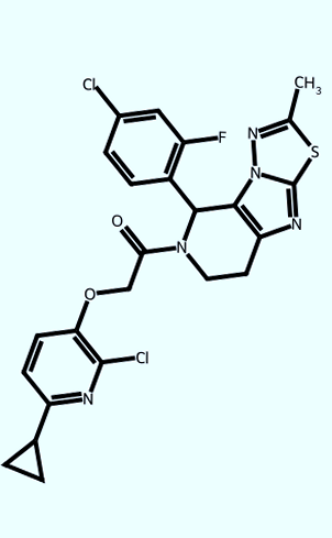 Cc1nn2c3c(nc2s1)CCN(C(=O)COc1ccc(C2CC2)nc1Cl)C3c1ccc(Cl)cc1F